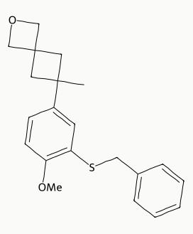 COc1ccc(C2(C)CC3(COC3)C2)cc1SCc1ccccc1